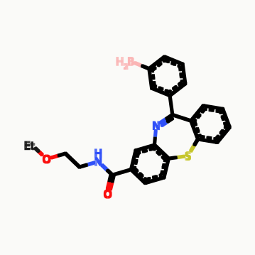 Bc1cccc(C2=Nc3cc(C(=O)NCCOCC)ccc3Sc3ccccc32)c1